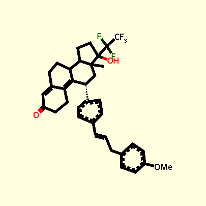 COc1ccc(C/C=C/c2ccc([C@H]3CC4(C)C(CCC4(O)C(F)(F)C(F)(F)F)C4CCC5=CC(=O)CCC5=C43)cc2)cc1